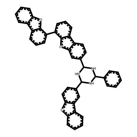 c1ccc(C2NC(c3ccc4c(c3)oc3c(-c5cccc6c5oc5ccccc56)cccc34)NC(c3ccc4sc5ccccc5c4c3)N2)cc1